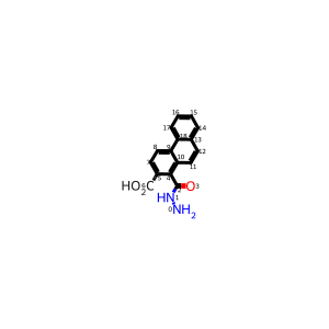 NNC(=O)c1c(C(=O)O)ccc2c1ccc1ccccc12